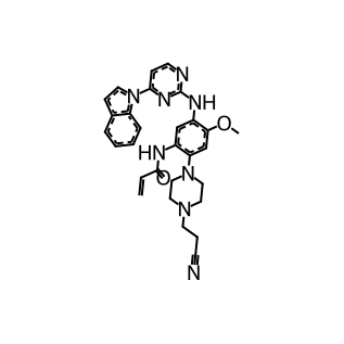 C=CC(=O)Nc1cc(Nc2nccc(-n3ccc4ccccc43)n2)c(OC)cc1N1CCN(CCC#N)CC1